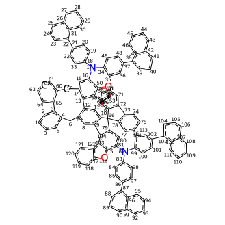 c1ccc2c(c1)Cc1cc3c(cc1-c1c(cc(N(c4ccc(-c5cccc6ccccc56)cc4)c4ccc(-c5cccc6ccccc56)cc4)c4oc5ccccc5c14)Cc1ccccc1-2)C1(c2ccccc2-c2ccccc21)c1cc(N(c2ccc(-c4cccc5ccccc45)cc2)c2ccc(-c4cccc5ccccc45)cc2)c2oc4ccccc4c2c1-3